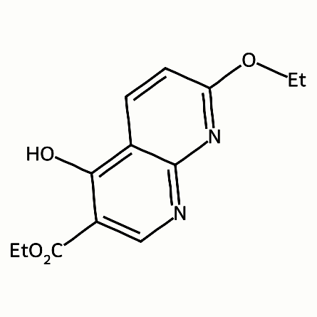 CCOC(=O)c1cnc2nc(OCC)ccc2c1O